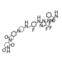 CNC(=O)c1ccccc1Nc1nc(Nc2ccc(CNC3CCN(c4ccc5c(c4)CN(C4CCC(=O)NC4=O)C5=O)CC3)c(F)c2)ncc1C(F)(F)F